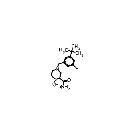 CN1CCN(Cc2cc(F)cc(C(C)(C)C)c2)CC1C(N)=O